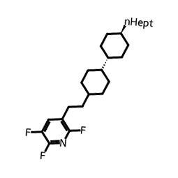 CCCCCCC[C@H]1CC[C@H](C2CCC(CCc3cc(F)c(F)nc3F)CC2)CC1